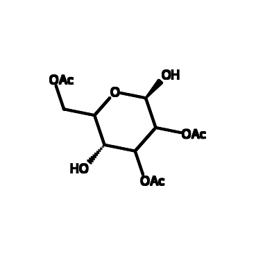 CC(=O)OCC1O[C@@H](O)C(OC(C)=O)C(OC(C)=O)[C@@H]1O